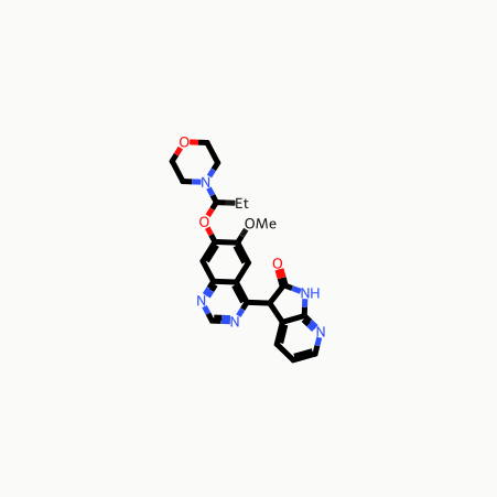 CCC(Oc1cc2ncnc(C3C(=O)Nc4ncccc43)c2cc1OC)N1CCOCC1